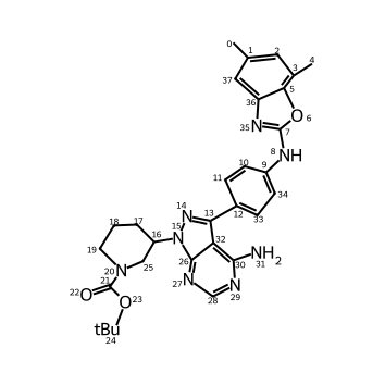 Cc1cc(C)c2oc(Nc3ccc(-c4nn(C5CCCN(C(=O)OC(C)(C)C)C5)c5ncnc(N)c45)cc3)nc2c1